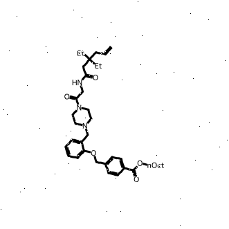 C=CCC(CC)(CC)CC(=O)NCC(=O)N1CCN(Cc2ccccc2OCc2ccc(C(=O)OCCCCCCCC)cc2)CC1